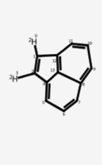 [2H]C1=C([2H])c2cccc3cccc1c23